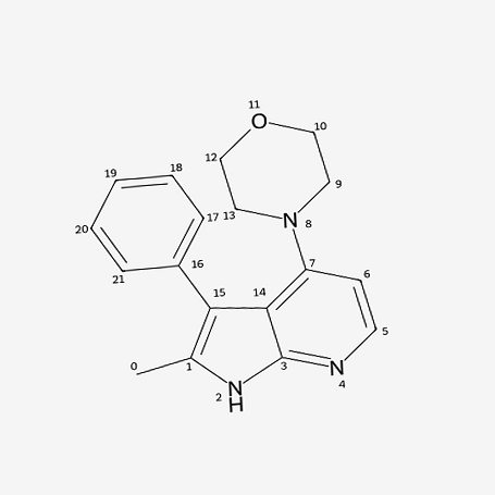 Cc1[nH]c2nccc(N3CCOCC3)c2c1-c1ccccc1